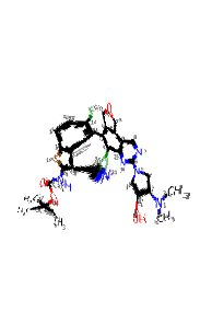 CN(C)[C@@H]1CN(c2ncc3c4c(c(-c5c(F)ccc6sc(NC(=O)OC(C)(C)C)c(C#N)c56)c(Cl)c3n2)COC4)C[C@@H]1O